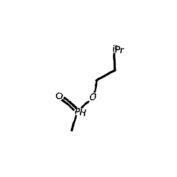 CC(C)CCO[PH](C)=O